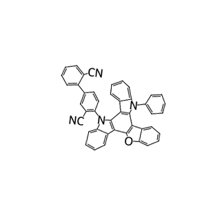 N#Cc1ccccc1-c1ccc(-n2c3ccccc3c3c4oc5ccccc5c4c4c(c5ccccc5n4-c4ccccc4)c32)c(C#N)c1